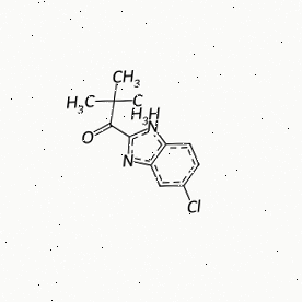 CC(C)(C)C(=O)c1nc2cc(Cl)ccc2[nH]1